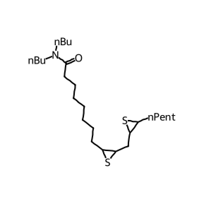 CCCCCC1SC1CC1SC1CCCCCCCC(=O)N(CCCC)CCCC